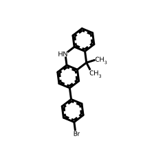 CC1(C)c2ccccc2Nc2ccc(-c3ccc(Br)cc3)cc21